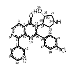 O=c1c2ccnc(-c3cccnc3)c2nc(-c2ccc(Cl)cc2)n1[C@@H]1CNC[C@H]1O